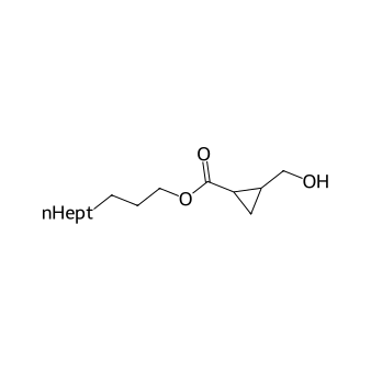 CCCCCCCCCCOC(=O)C1CC1CO